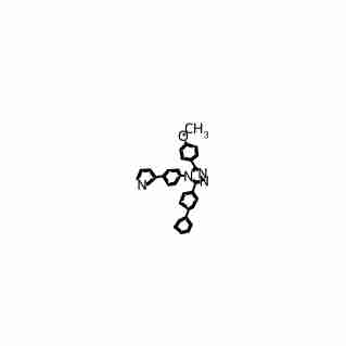 COc1ccc(-c2nnc(-c3ccc(-c4ccccc4)cc3)n2-c2ccc(-c3cccnc3)cc2)cc1